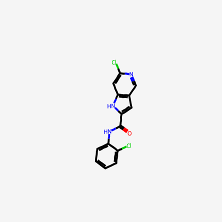 O=C(Nc1ccccc1Cl)c1cc2cnc(Cl)cc2[nH]1